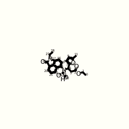 CCOC(=O)CC(c1ccc(C)o1)N(c1ccc2c3c(cccc13)C(=O)N2CC)[SH](=O)=O